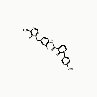 COc1ccc(-n2cccc(C(=O)Nc3ccc(Oc4ncnc(N)c4F)cc3F)c2=O)cc1